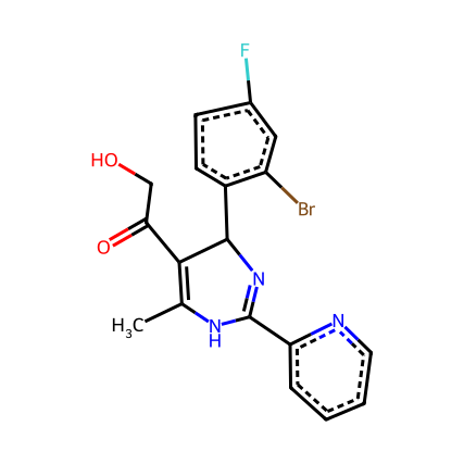 CC1=C(C(=O)CO)C(c2ccc(F)cc2Br)N=C(c2ccccn2)N1